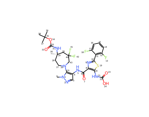 Cn1ncc(NC(=O)c2nc(-c3c(F)cccc3F)sc2NC(=O)O)c1N1CC[C@@](C)(NC(=O)OC(C)(C)C)CC(F)(F)C1